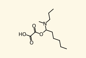 CCCCCC(OC(=O)C(=O)O)N(C)CCC